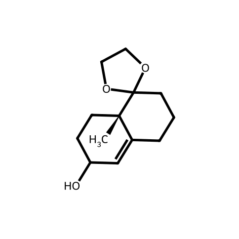 C[C@]12CCC(O)C=C1CCCC21OCCO1